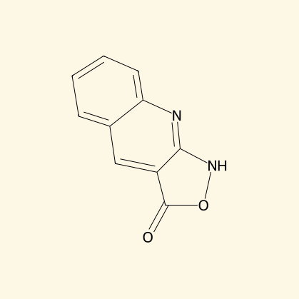 O=c1o[nH]c2nc3ccccc3cc12